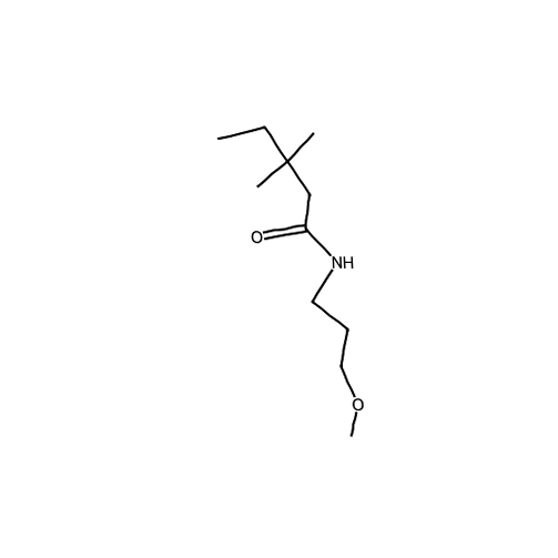 CCC(C)(C)CC(=O)NCCCOC